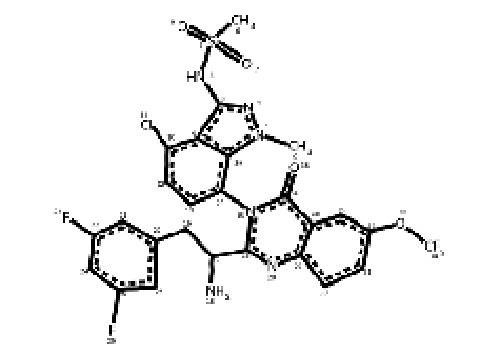 Cn1nc(NS(C)(=O)=O)c2c(Cl)ccc(-n3c(C(N)Cc4cc(F)cc(F)c4)nc4ccc(OC(F)(F)F)cc4c3=O)c21